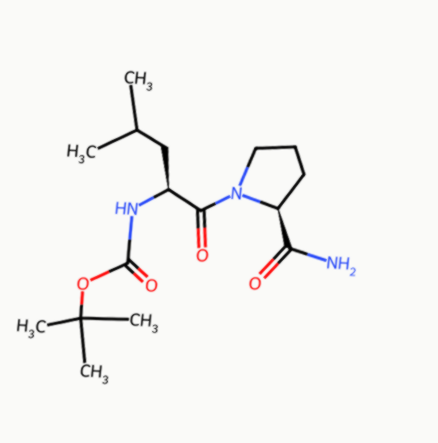 CC(C)C[C@H](NC(=O)OC(C)(C)C)C(=O)N1CCC[C@H]1C(N)=O